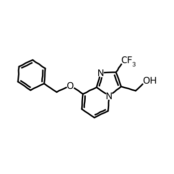 OCc1c(C(F)(F)F)nc2c(OCc3ccccc3)cccn12